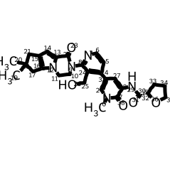 Cn1cc(-c2ccnc(N3CCn4c(cc5c4CC(C)(C)C5)C3=O)c2CO)cc(NC(=O)[C@@H]2CCCO2)c1=O